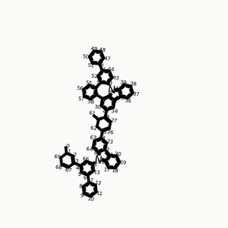 CC1C=C(c2cc(-c3ccccc3)cc(-n3c4ccccc4c4cc(C5=CC=C(c6cc7c8c(c6)c6ccccc6n8-c6ccc(-c8ccccc8)cc6-c6ccccc6-7)C(C)C5)ccc43)c2)C=CC1